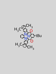 CC1=C2CC(C)(C2)c2cc3c(cc21)c1c(=O)c2cc(C(C)(C)C)cc4c(=O)c5c6cc7c(cc6n6c8ccccc8n3c1n(c24)c56)C1(C)CCC7(C)CC1